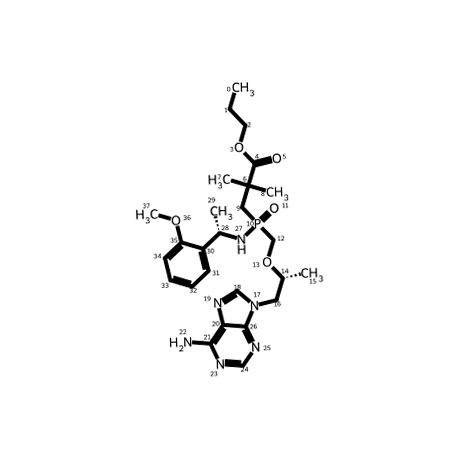 CCCOC(=O)C(C)(C)CP(=O)(CO[C@H](C)Cn1cnc2c(N)ncnc21)N[C@@H](C)c1ccccc1OC